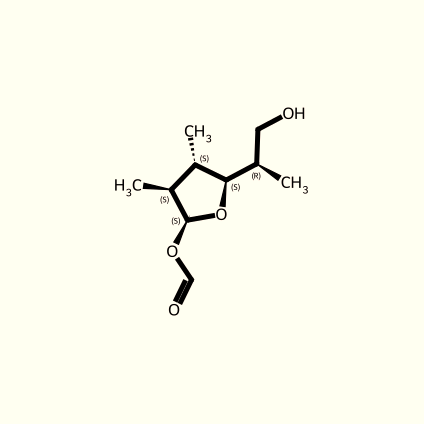 C[C@@H]1[C@H](OC=O)O[C@H]([C@H](C)CO)[C@H]1C